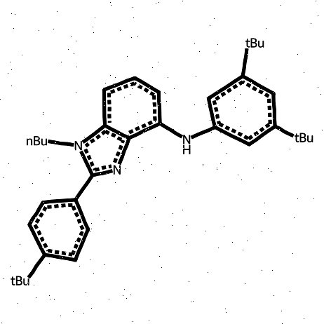 CCCCn1c(-c2ccc(C(C)(C)C)cc2)nc2c(Nc3cc(C(C)(C)C)cc(C(C)(C)C)c3)cccc21